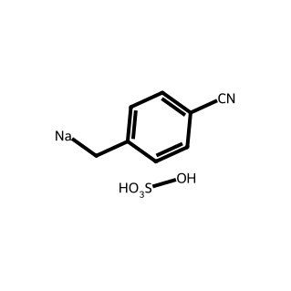 N#Cc1ccc([CH2][Na])cc1.O=S(=O)(O)O